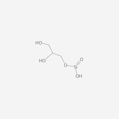 O=[Si](O)OCC(O)CO